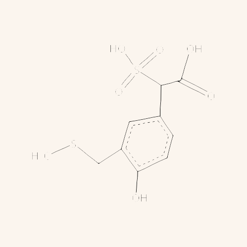 CSCc1cc(C(C(=O)O)S(=O)(=O)O)ccc1O